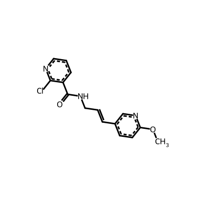 COc1ccc(C=CCNC(=O)c2cccnc2Cl)cn1